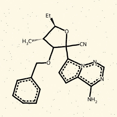 CC[C@H]1OC(C#N)(c2ccc3c(N)ncnn23)C(OCc2ccccc2)[C@@H]1C